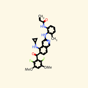 C=CC(=O)Nc1cccc(C)c1Nc1cc2c(NC3CC3)c(C(=O)c3c(F)c(OC)cc(OC)c3F)ccc2cn1